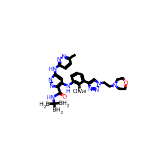 BC(B)(B)NC(=O)c1nnc(Nc2ccc(C)nn2)cc1Nc1cccc(-c2cn(CCN3CCOCC3)nn2)c1OC